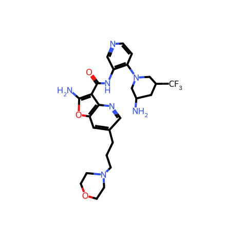 Nc1oc2cc(CCCN3CCOCC3)cnc2c1C(=O)Nc1cnccc1N1CC(N)CC(C(F)(F)F)C1